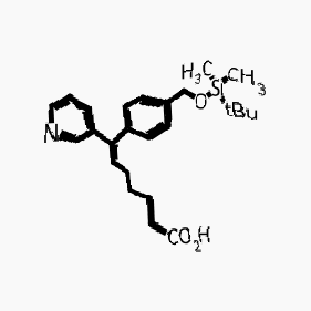 CC(C)(C)[Si](C)(C)OCc1ccc(/C(=C\CCCCC(=O)O)c2cccnc2)cc1